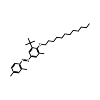 CCCCCCCCCCCCOc1c(C)cc(/N=N/c2ccc(C)cc2C)cc1C(C)(C)C